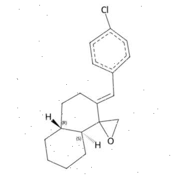 Clc1ccc(C=C2CC[C@H]3CCCC[C@@H]3C23CO3)cc1